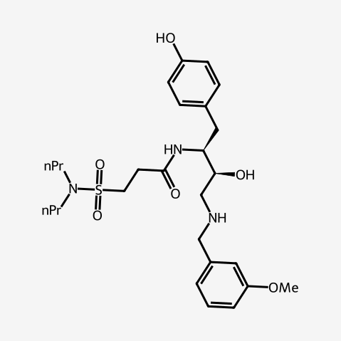 CCCN(CCC)S(=O)(=O)CCC(=O)N[C@@H](Cc1ccc(O)cc1)[C@@H](O)CNCc1cccc(OC)c1